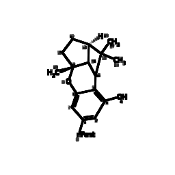 CCCCCc1cc(O)c2c(c1)O[C@]1(C)CC[C@@H]3C1C2C3(C)C